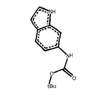 CC(C)(C)OC(=O)Nc1ccc2cc[nH]c2c1